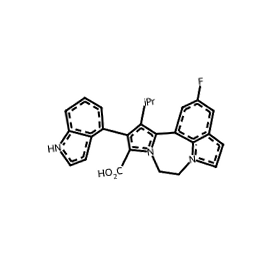 CC(C)c1c(-c2cccc3[nH]ccc23)c(C(=O)O)n2c1-c1cc(F)cc3ccn(c13)CC2